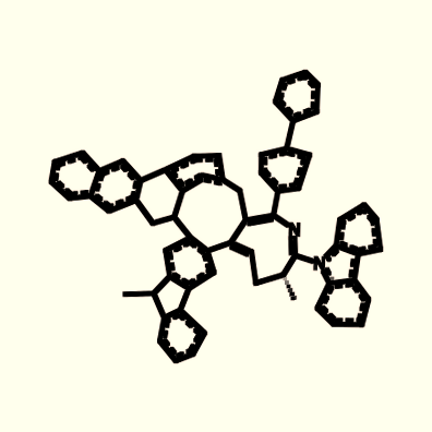 CC1c2ccccc2-c2cc3c(cc21)C1Cc2cc4ccccc4cc2-c2ccc(cc21)CC1=C(c2ccc(-c4ccccc4)cc2)/N=C(/n2c4ccccc4c4ccccc42)[C@H](C)C\C=C\13